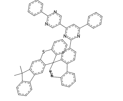 CC1(C)c2ccccc2-c2cc3c(cc21)Sc1ccccc1C31c2ccccc2-c2ccccc2-c2ccc(-c3nc(-c4ccccc4)cc(-c4cnc(-c5ccccc5)nc4)n3)cc21